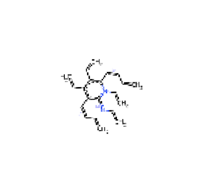 C=C/C=C\c1c(C=C)c(C=C)c(/C=C\C=C)n(C=C)/c1=N\C=C